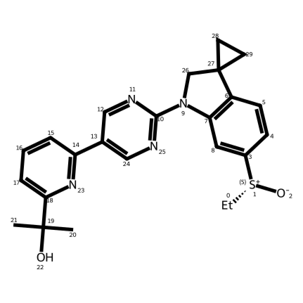 CC[S@@+]([O-])c1ccc2c(c1)N(c1ncc(-c3cccc(C(C)(C)O)n3)cn1)CC21CC1